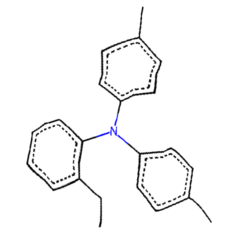 CCc1ccccc1N(c1ccc(C)cc1)c1ccc(C)cc1